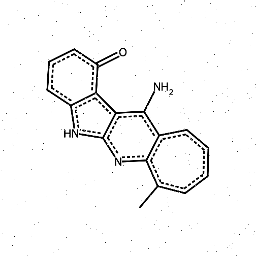 Cc1ccccc2c(N)c3c(nc12)[nH]c1cccc(=O)c13